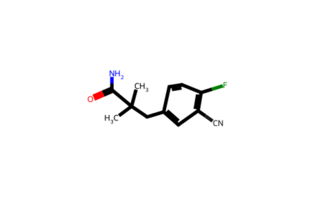 CC(C)(Cc1ccc(F)c(C#N)c1)C(N)=O